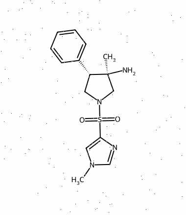 Cn1cnc(S(=O)(=O)N2C[C@H](c3ccccc3)[C@@](C)(N)C2)c1